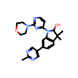 Cc1ncc(-c2ccc3c(c2)N(c2ccnc(N4CCOCC4)n2)C(O)C3(C)C)cn1